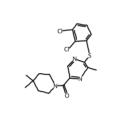 Cc1nc(C(=O)N2CCC(C)(C)CC2)cnc1Sc1cccc(Cl)c1Cl